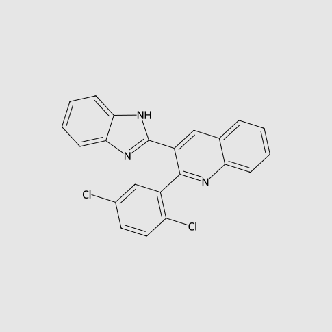 Clc1ccc(Cl)c(-c2nc3ccccc3cc2-c2nc3ccccc3[nH]2)c1